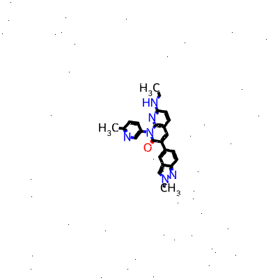 CCNc1ccc2cc(-c3ccc4nn(C)cc4c3)c(=O)n(-c3ccc(C)nc3)c2n1